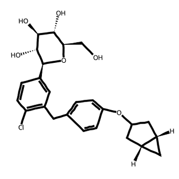 OC[C@H]1O[C@@H](c2ccc(Cl)c(Cc3ccc(OC4C[C@@H]5C[C@@H]5C4)cc3)c2)[C@H](O)[C@@H](O)[C@@H]1O